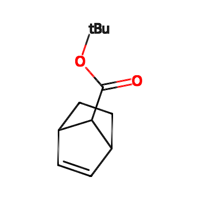 CC(C)(C)OC(=O)C1C2C=CC1CC2